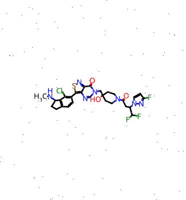 CNC1CCc2ccc(-c3snc4c(=O)n(CC5(O)CCN(C(=O)CC(C(F)F)n6ccc(F)n6)CC5)cnc34)c(Cl)c21